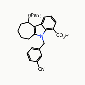 CCCCCC1CCCCc2c1c1cccc(C(=O)O)c1n2Cc1cccc(C#N)c1